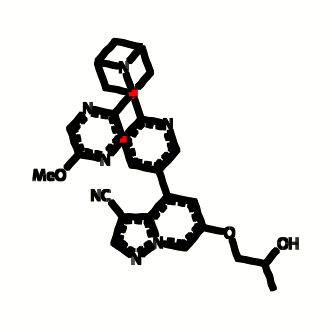 COc1cnc(CN2C3CC2CN(c2ccc(-c4cc(OCC(C)O)cn5ncc(C#N)c45)cn2)C3)cn1